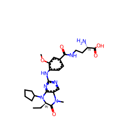 CC[C@@H]1C(=O)N(C)c2cnc(Nc3ccc(C(=O)NCC[C@H](N)C(=O)O)cc3OC)nc2N1C1CCCC1